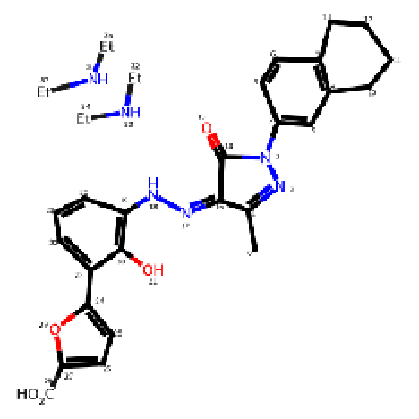 CC1=NN(c2ccc3c(c2)CCCC3)C(=O)C1=NNc1cccc(-c2ccc(C(=O)O)o2)c1O.CCNCC.CCNCC